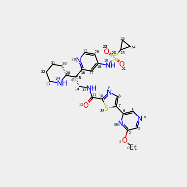 CCOc1cncc(-c2cnc(C(=O)NC[C@@H](c3cc(NS(=O)(=O)C4CC4)ccn3)[C@H]3CCCCN3)s2)n1